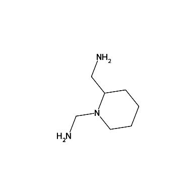 NCC1CCCCN1CN